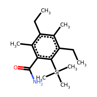 CCc1c(C)c(CC)c([Si](C)(C)C)c(C(N)=O)c1C